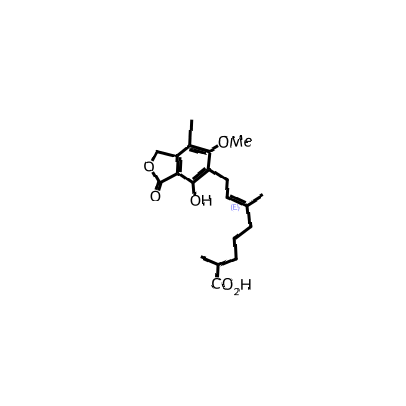 COc1c(C)c2c(c(O)c1C/C=C(\C)CCCC(C)C(=O)O)C(=O)OC2